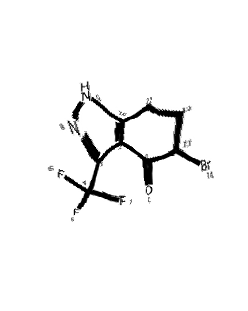 O=C1c2c(C(F)(F)F)n[nH]c2CCC1Br